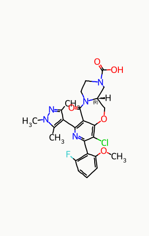 COc1cccc(F)c1-c1nc(-c2c(C)nn(C)c2C)c2c(c1Cl)OC[C@H]1CN(C(=O)O)CCN1C2=O